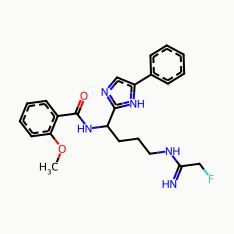 COc1ccccc1C(=O)NC(CCCNC(=N)CF)c1ncc(-c2ccccc2)[nH]1